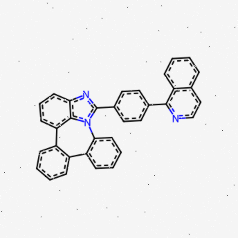 c1ccc2c(c1)-c1ccccc1-n1c(-c3ccc(-c4nccc5ccccc45)cc3)nc3cccc-2c31